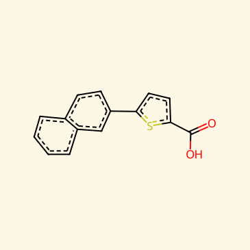 O=C(O)c1ccc(-c2ccc3ccccc3c2)s1